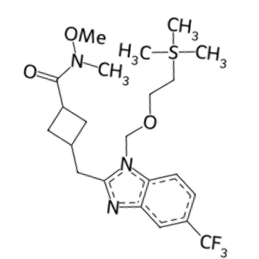 CON(C)C(=O)C1CC(Cc2nc3cc(C(F)(F)F)ccc3n2COCCS(C)(C)C)C1